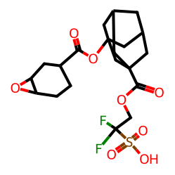 O=C(OC12CC3CC(C1)CC(C(=O)OCC(F)(F)S(=O)(=O)O)(C3)C2)C1CCC2OC2C1